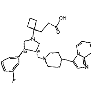 O=C(O)CCC1(N2C[C@H](CN3CCC(c4cnc5ccccn45)CC3)[C@@H](c3cccc(F)c3)C2)CCC1